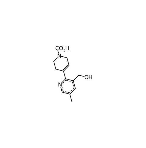 Cc1cnc(C2=CCN(C(=O)O)CC2)c(CO)c1